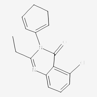 CCc1nc2cccc(Cl)c2c(=O)n1C1=CCCC=C1